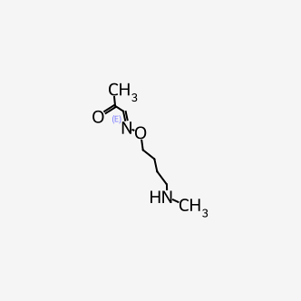 CNCCCCO/N=C/C(C)=O